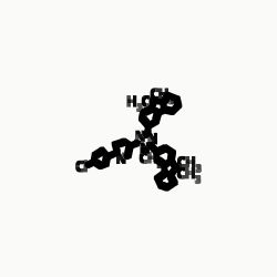 C=N/C(=N\C(=N/Cc1ccc(-c2ccc(Cl)cc2)nc1)c1ccc2c(c1)-c1ccccc1C2(C)C)c1ccc2c(c1)-c1ccccc1C2(C)C